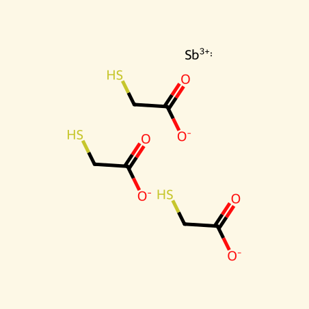 O=C([O-])CS.O=C([O-])CS.O=C([O-])CS.[Sb+3]